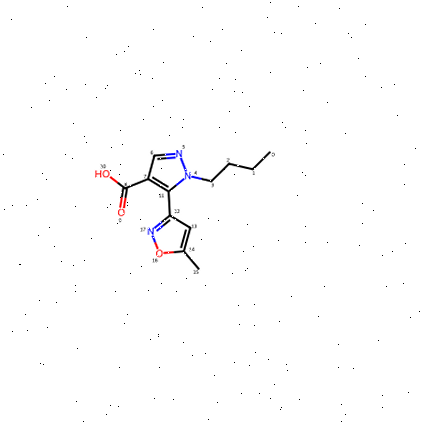 CCCCn1ncc(C(=O)O)c1-c1cc(C)on1